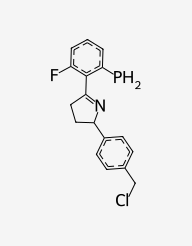 Fc1cccc(P)c1C1=NC(c2ccc(CCl)cc2)CC1